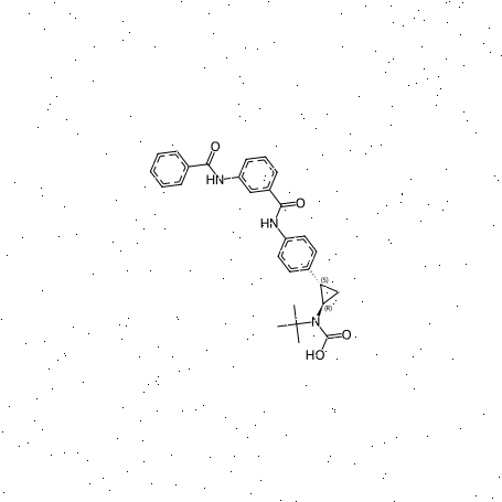 CC(C)(C)N(C(=O)O)[C@@H]1C[C@H]1c1ccc(NC(=O)c2cccc(NC(=O)c3ccccc3)c2)cc1